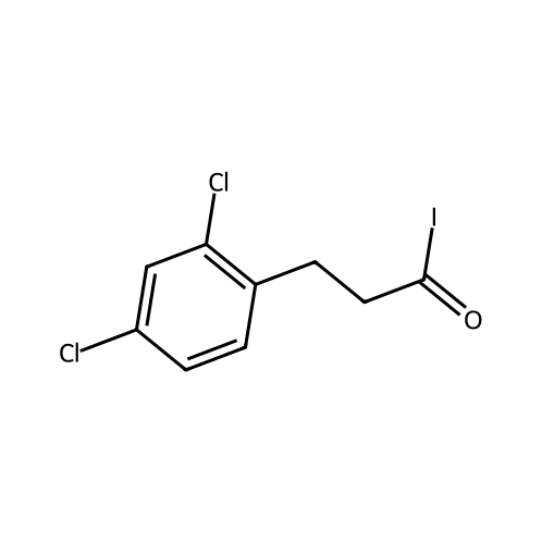 O=C(I)CCc1ccc(Cl)cc1Cl